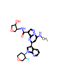 CNc1cc(-c2cn([C@@H]3CCOC[C@@H]3F)c3ncccc23)nc2c(C(=O)NC3COCC3O)cnn12